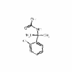 CC(C)(NC(=O)O)c1cccnc1Cl